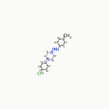 Cc1ccc(N=NN2CCN(c3ccc(Cl)cc3)CC2)cc1